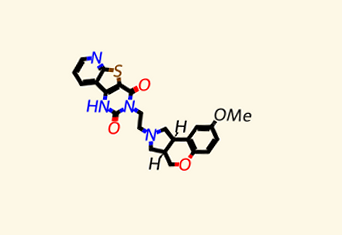 COc1ccc2c(c1)[C@@H]1CN(CCn3c(=O)[nH]c4c(sc5ncccc54)c3=O)C[C@@H]1CO2